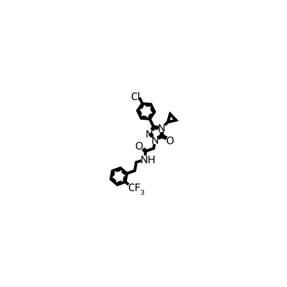 O=C(Cn1nc(-c2ccc(Cl)cc2)n(C2CC2)c1=O)NCCc1ccccc1C(F)(F)F